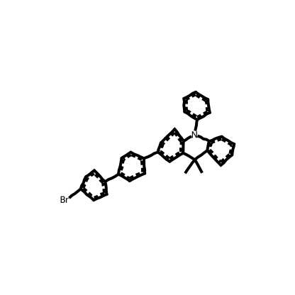 CC1(C)c2ccccc2N(c2ccccc2)c2ccc(-c3ccc(-c4ccc(Br)cc4)cc3)cc21